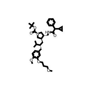 COCCCOc1cc(C[C@@H](C[C@H]2CN(C(=O)OC(C)(C)C)C[C@@H]2CNC(=O)C(c2ccccc2)C2CC2)C(C)C)ccc1OC